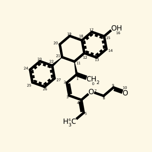 C=C(/C=C\C(=C/C)OCC=O)[C@@H]1c2ccc(O)cc2CC[C@@H]1c1ccccc1